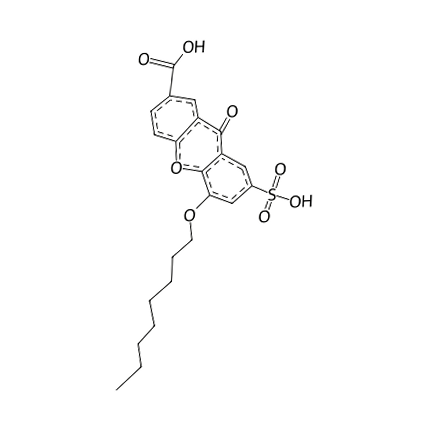 CCCCCCCCOc1cc(S(=O)(=O)O)cc2c(=O)c3cc(C(=O)O)ccc3oc12